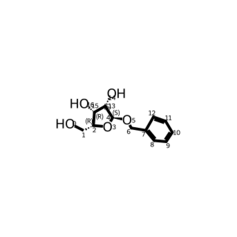 OC[C@H]1O[C@H](OCc2ccccc2)[C@@H](O)[C@H]1O